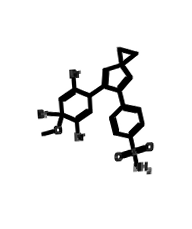 COC1(Br)C=C(Br)C(C2=CC3(C=C2c2ccc(S(N)(=O)=O)cc2)CC3)C=C1Br